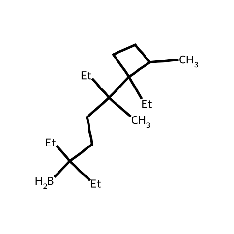 BC(CC)(CC)CCC(C)(CC)C1(CC)CCC1C